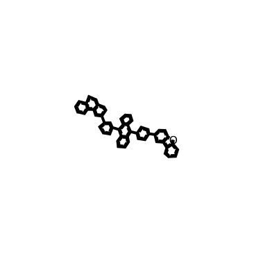 c1cc(-c2ccc3ccc4ccccc4c3c2)cc(-c2c3ccccc3c(-c3ccc(-c4ccc5oc6ccccc6c5c4)cc3)c3ccccc23)c1